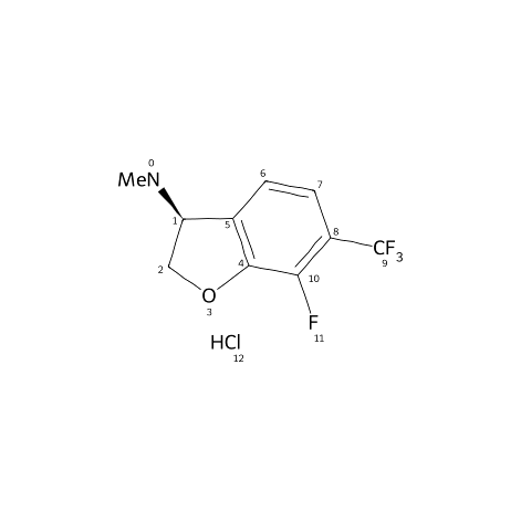 CN[C@@H]1COc2c1ccc(C(F)(F)F)c2F.Cl